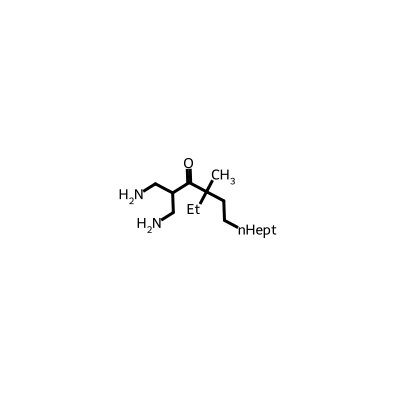 CCCCCCCCCC(C)(CC)C(=O)C(CN)CN